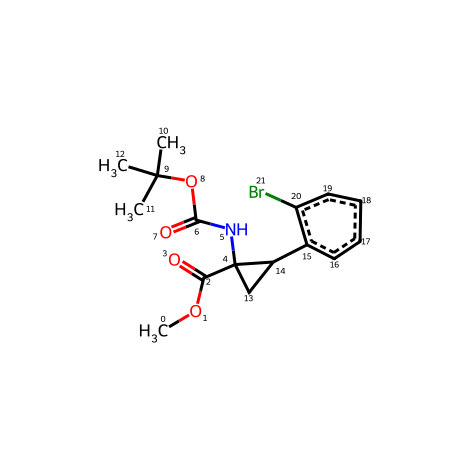 COC(=O)C1(NC(=O)OC(C)(C)C)CC1c1ccccc1Br